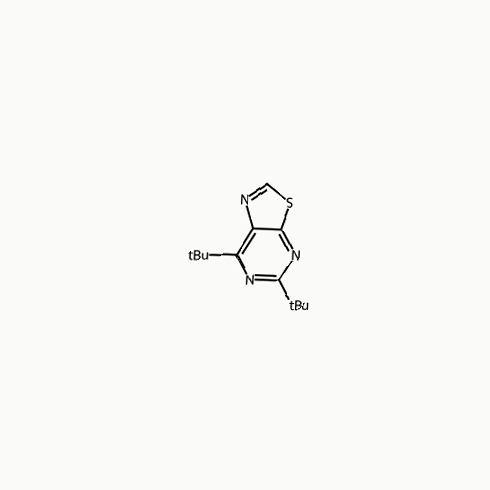 CC(C)(C)c1nc(C(C)(C)C)c2ncsc2n1